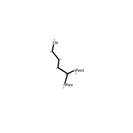 CCCCCCC(CCCC#N)CCCCC